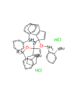 CC(C)(C)c1ccccc1[SiH2]O[C]1([Zr]([SiH](c2ccccc2)c2ccccc2)[C]2(O[SiH2]c3ccccc3C(C)(C)C)C=CC3=C2CCCC3)C=CC2=C1CCCC2.Cl.Cl